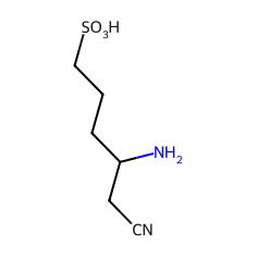 N#CCC(N)CCCS(=O)(=O)O